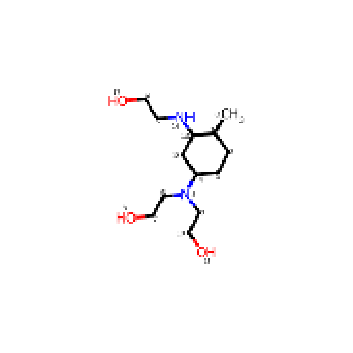 CC1CCC(N(CCO)CCO)CC1NCCO